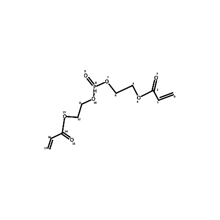 C=CC(=O)OCCO[PH](=O)OCCOC(=O)C=C